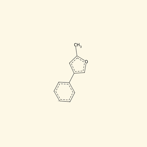 Cc1cc(-c2cc[c]cc2)co1